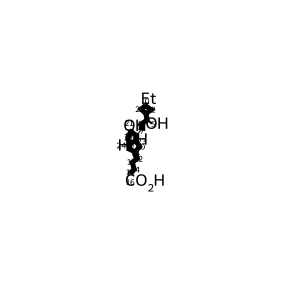 CCC1CC([C@@H](O)/C=C/[C@@H]2[C@H]3C/C(=C/CCCC(=O)O)C[C@@H]3C[C@H]2O)C1